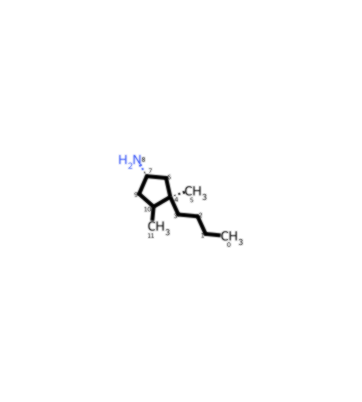 CCCC[C@]1(C)C[C@@H](N)CC1C